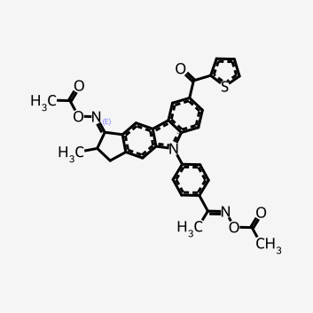 CC(=O)ON=C(C)c1ccc(-n2c3ccc(C(=O)c4cccs4)cc3c3cc4c(cc32)CC(C)/C4=N\OC(C)=O)cc1